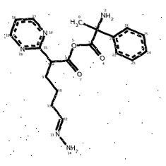 CC(N)(C(=O)OC(=O)C(CCCC=NN)c1ncccn1)c1ccccc1